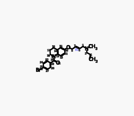 C=CCN(C)C/C=C/COc1ccc2c(c1)CCCN2C(=O)c1ccc(Br)cc1